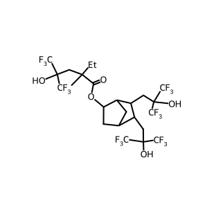 CCC(C)(CC(O)(C(F)(F)F)C(F)(F)F)C(=O)OC1CC2CC1C(CC(O)(C(F)(F)F)C(F)(F)F)C2CC(O)(C(F)(F)F)C(F)(F)F